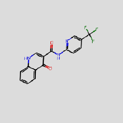 O=C(Nc1ccc(C(F)(F)F)cn1)c1c[nH]c2ccccc2c1=O